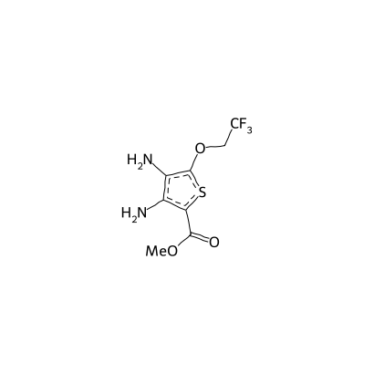 COC(=O)c1sc(OCC(F)(F)F)c(N)c1N